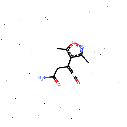 Cc1noc(C)c1C(=C=O)CC(N)=O